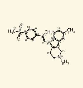 C/C(=C\n1c2c(c3cc(C)ccc31)CN(C)CC2)c1ccc(S(C)(=O)=O)cc1